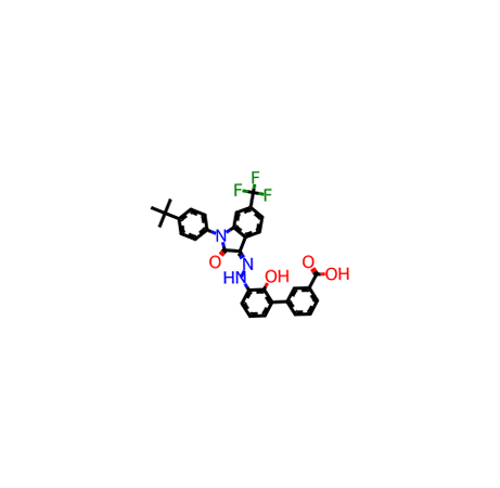 CC(C)(C)c1ccc(N2C(=O)/C(=N\Nc3cccc(-c4cccc(C(=O)O)c4)c3O)c3ccc(C(F)(F)F)cc32)cc1